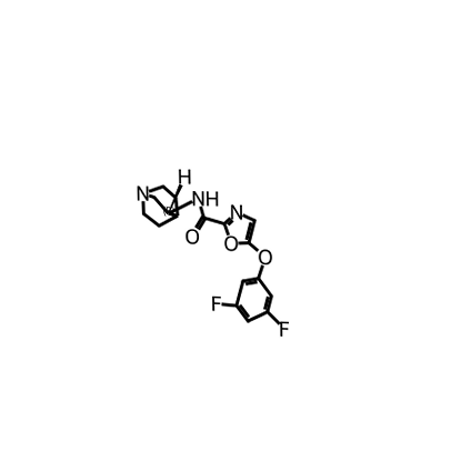 O=C(N[C@H]1CN2CCC1CC2)c1ncc(Oc2cc(F)cc(F)c2)o1